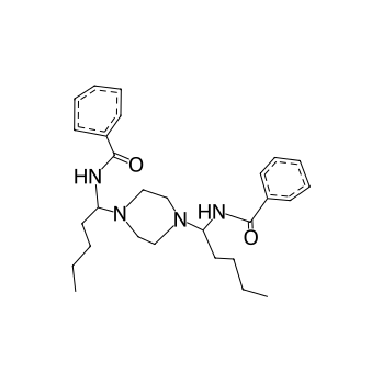 CCCCC(NC(=O)c1ccccc1)N1CCN(C(CCCC)NC(=O)c2ccccc2)CC1